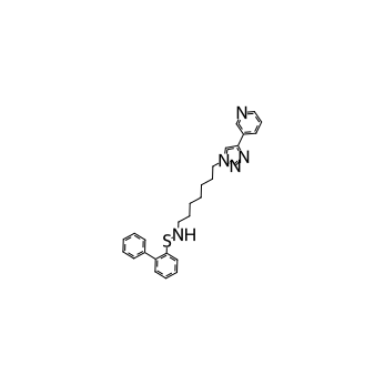 c1ccc(-c2ccccc2SNCCCCCCCn2cc(-c3cccnc3)nn2)cc1